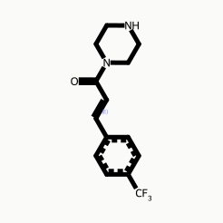 O=C(/C=C/c1ccc(C(F)(F)F)cc1)N1CCNCC1